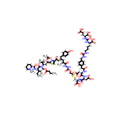 CCCC(=O)OCN(C(=O)[C@@H](NC(=O)[C@H]1CCCCN1C)C(C)CC)[C@H](C[C@@H](OC(C)=O)c1nc(C(=O)C[C@@H](Cc2ccc(O)cc2)C[C@H](C)C(=O)NNC(=O)OCCSSC[C@H](NC(=O)[C@H](CC(=O)O)NC(=O)[C@H](CC(=O)O)NC(=O)Cc2ccc(CNC(=O)NCCCC[C@H](NC(=O)N[C@@H](CCC(=O)O)C(=O)O)C(=O)O)cc2)C(=O)O)cs1)C(C)C